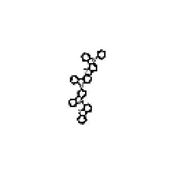 c1ccc(-n2c3ccccc3c3c4oc5c(ccc6c5c5ccccc5n6-c5ccc6c(c5)c5ccccc5n6-c5cccc6c5sc5ccccc56)c4ccc32)cc1